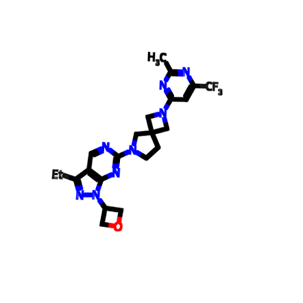 CCc1nn(C2COC2)c2nc(N3CCC4(CN(c5cc(C(F)(F)F)nc(C)n5)C4)C3)ncc12